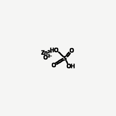 O=S(=O)(O)O.[O-2].[Zn+2]